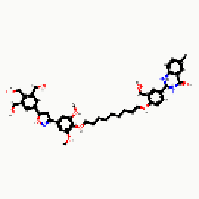 COc1cc(C2=NOC(c3cc(CO)c(CO)c(CO)c3)C2)cc(OC)c1OCCCCCCCCCOc1ccc(C2NC(=O)c3cc(C)ccc3N2)cc1CO